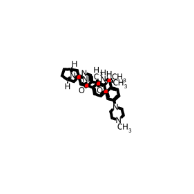 CNc1cccc(C(=O)N[C@H]2C[C@H]3CC[C@@H](C2)N3c2ccc(C(=O)N[C@@H](C)c3ccc(N4CCN(C)CC4)cc3)cn2)c1C